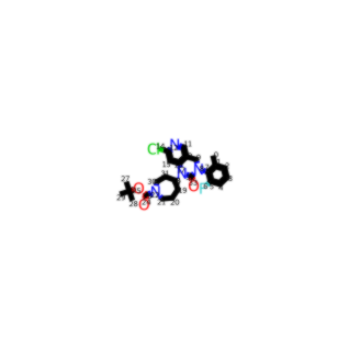 Cc1cccc(F)c1N1Cc2cnc(Cl)cc2N([C@@H]2CCCN(C(=O)OC(C)(C)C)CC2)C1=O